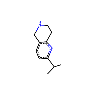 CC(C)c1ccc2c(n1)CCNC2